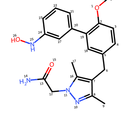 COc1ccc(Cc2c(C)nn(CC(N)=O)c2C)cc1-c1cccc(NO)c1